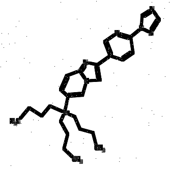 CCC[CH2][Sn]([CH2]CCC)([CH2]CCC)[c]1ccc2nc(-c3ccc(-n4cncn4)nc3)cn2c1